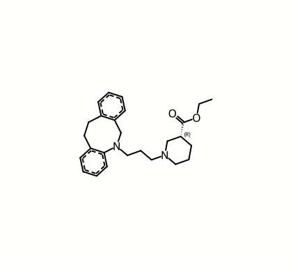 CCOC(=O)[C@@H]1CCCN(CCCN2Cc3ccccc3CCc3ccccc32)C1